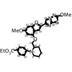 CCOC(=O)c1ccc(N2CCCCC2COc2cc(OC)cc3oc(-c4cn5nc(OC)sc5n4)cc23)cc1